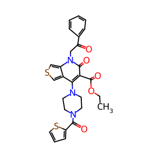 CCOC(=O)c1c(N2CCN(C(=O)c3cccs3)CC2)c2cscc2n(CC(=O)c2ccccc2)c1=O